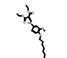 CCCCCCCCOc1ccc(NC=C(C(=O)OCC)C(=O)OCC)cc1OC